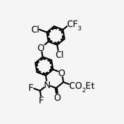 CCOC(=O)C1Oc2cc(Oc3c(Cl)cc(C(F)(F)F)cc3Cl)ccc2N(C(F)F)C1=O